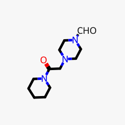 O=CN1CCN(CC(=O)N2CCCCC2)CC1